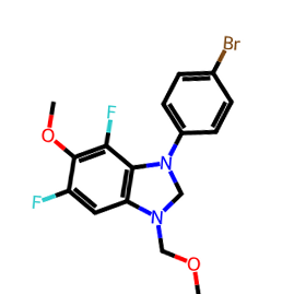 COCN1CN(c2ccc(Br)cc2)c2c1cc(F)c(OC)c2F